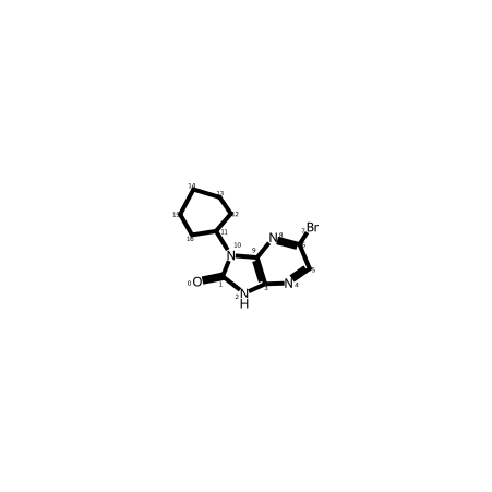 O=c1[nH]c2ncc(Br)nc2n1C1CCCCC1